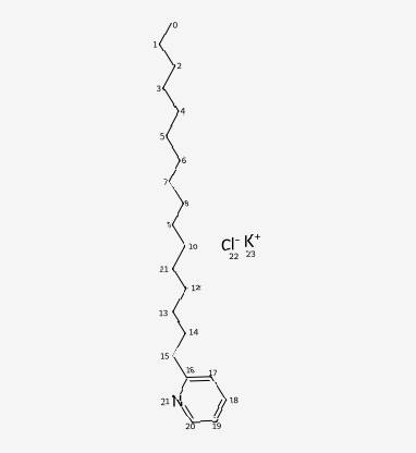 CCCCCCCCCCCCCCCCc1ccccn1.[Cl-].[K+]